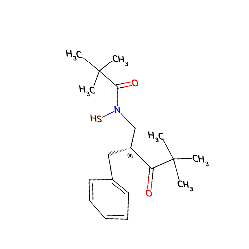 CC(C)(C)C(=O)[C@H](Cc1ccccc1)CN(S)C(=O)C(C)(C)C